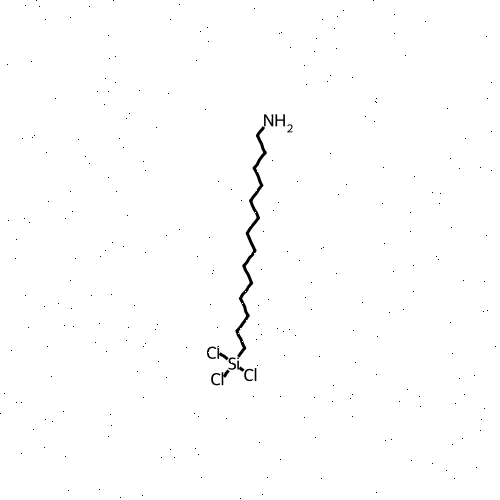 NCCCCCCCCCCCCCC[Si](Cl)(Cl)Cl